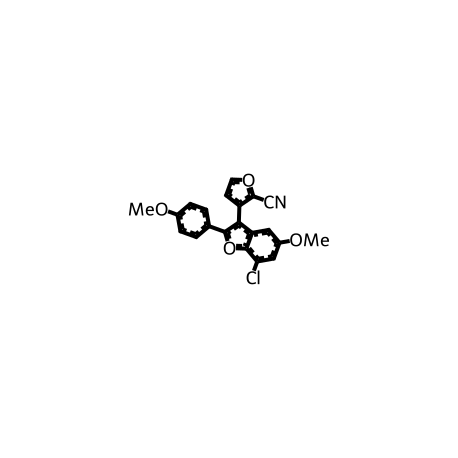 COc1ccc(-c2oc3c(Cl)cc(OC)cc3c2-c2ccoc2C#N)cc1